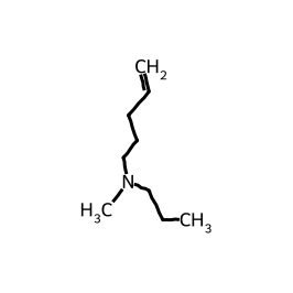 C=CCCCN(C)CCC